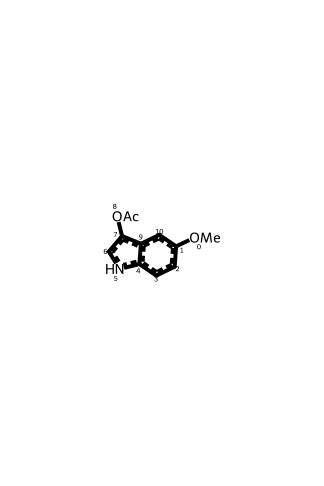 COc1ccc2[nH]cc(OC(C)=O)c2c1